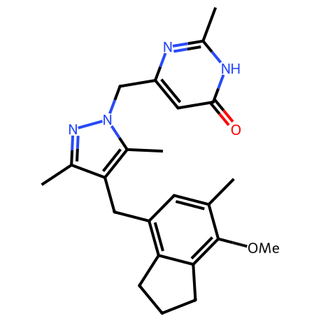 COc1c(C)cc(Cc2c(C)nn(Cc3cc(=O)[nH]c(C)n3)c2C)c2c1CCC2